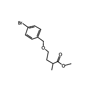 COC(=O)C(C)CCOCc1ccc(Br)cc1